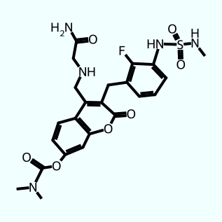 CNS(=O)(=O)Nc1cccc(Cc2c(CNCC(N)=O)c3ccc(OC(=O)N(C)C)cc3oc2=O)c1F